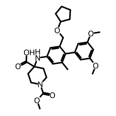 COC(=O)N1CCC(Nc2cc(C)c(-c3cc(OC)cc(OC)c3)c(COC3CCCC3)c2)(C(=O)O)CC1